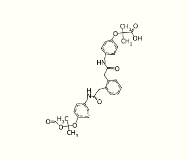 CC(C)(OC=O)Oc1ccc(NC(=O)Cc2ccccc2CC(=O)Nc2ccc(OC(C)(C)C(=O)O)cc2)cc1